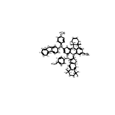 CC(C)(C)c1ccc(N(c2cc3c4c(c2)N2c5c(cc(C(C)(C)C)cc5C5(C)CCCCC25C)B4c2sc4cc5c(cc4c2N3c2ccc(C(C)(C)C)cc2)C(C)(C)CCC5(C)C)c2ccc3c(c2)oc2ccccc23)cc1